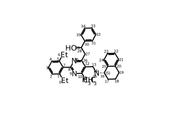 CCc1cccc(CC)c1-c1nc(C)c(CN(C)[C@H]2CCCc3ccccc32)c(CC(O)c2ccccc2)n1